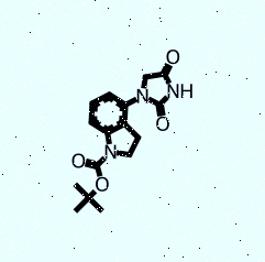 CC(C)(C)OC(=O)N1CCc2c(N3CC(=O)NC3=O)cccc21